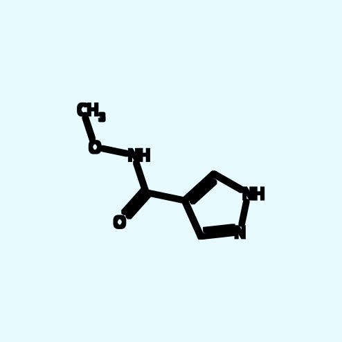 CONC(=O)c1cn[nH]c1